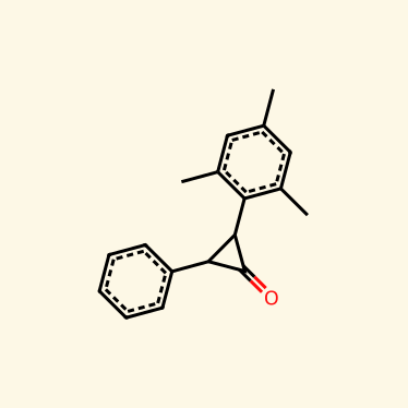 Cc1cc(C)c(C2C(=O)C2c2ccccc2)c(C)c1